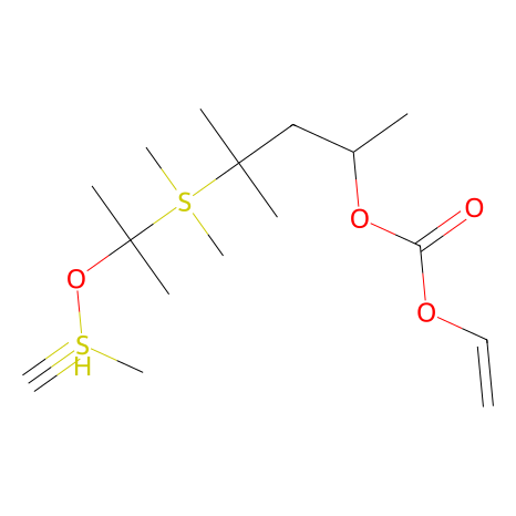 C#[SH](C)OC(C)(C)S(C)(C)C(C)(C)CC(C)OC(=O)OC=C